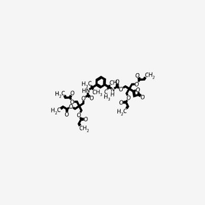 C=CC(=O)OCC(COC(=O)C=C)(COC(=O)C=C)COC(=O)NC(C)(C)c1cccc(C(C)(C)NC(=O)OCC(COC(=O)C=C)(COC(=O)C=C)C2=CC(=O)O2)c1